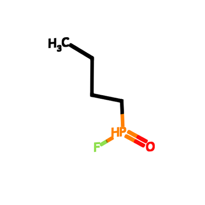 CCCC[PH](=O)F